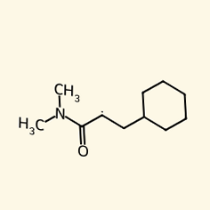 CN(C)C(=O)[CH]CC1CCCCC1